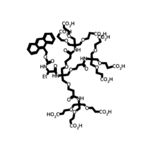 CCC(NC(=O)OCc1c2ccccc2cc2ccccc12)C(=O)NC(COCCC(=O)NC(COCCC(=O)O)(COCCC(=O)O)COCCC(=O)O)(COCCC(=O)NC(COCCC(=O)O)(COCCC(=O)O)COCCC(=O)O)COCCC(=O)NC(COCCC(=O)O)(COCCC(=O)O)COCCC(=O)O